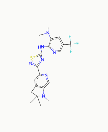 CN(C)c1cc(C(F)(F)F)cnc1Nc1nc(-c2cc3c(cn2)N(C)C(C)(C)C3)ns1